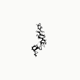 CCOc1cccnc1Oc1cncc(-c2ncc(C(=O)N[C@H]3CCOC3)nn2)c1